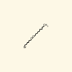 CCCCCCCCCCOCOCCC=CCCBr